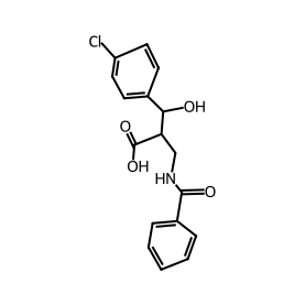 O=C(NCC(C(=O)O)C(O)c1ccc(Cl)cc1)c1ccccc1